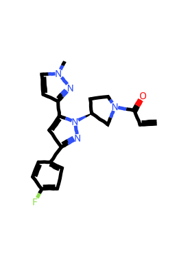 C=CC(=O)N1CC[C@H](n2nc(-c3ccc(F)cc3)cc2-c2ccn(C)n2)C1